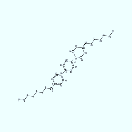 C=CCCCCCOc1ccc(-c2ccc([C@H]3OC[C@H](CCCCCCC)CO3)cc2)cc1